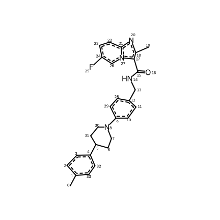 Cc1ccc(C2CCN(c3ccc(CNC(=O)c4c(C)nc5ccc(F)cn45)cc3)CC2)cc1